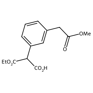 CCOC(=O)C(C(=O)O)c1cccc(CC(=O)OC)c1